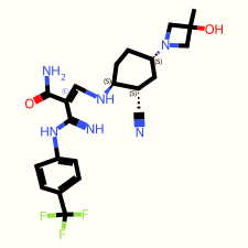 CC1(O)CN([C@H]2CC[C@H](N/C=C(\C(=N)Nc3ccc(C(F)(F)F)cc3)C(N)=O)[C@@H](C#N)C2)C1